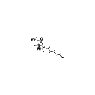 C=CCCCCCC[C@@](C)(N)C(=O)C(C)C